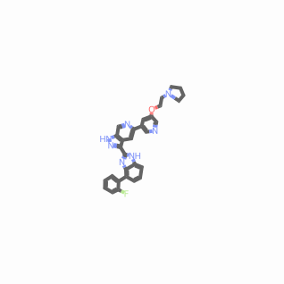 Fc1ccccc1-c1cccc2[nH]c(-c3n[nH]c4cnc(-c5cncc(OCCN6CCCC6)c5)cc34)nc12